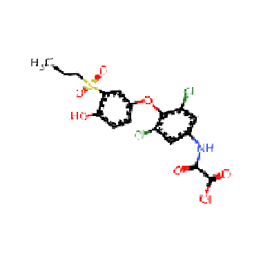 CCCS(=O)(=O)c1cc(Oc2c(Cl)cc(NC(=O)C(=O)O)cc2Cl)ccc1O